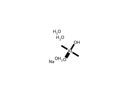 C[As](C)(=O)O.O.O.O.[Na]